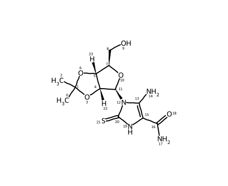 CC1(C)O[C@@H]2[C@H](O1)[C@@H](CO)O[C@H]2n1c(N)c(C(N)=O)[nH]c1=S